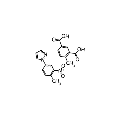 Cc1ccc(-n2cccn2)cc1[N+](=O)[O-].Cc1ccc(C(=O)O)cc1C(=O)O